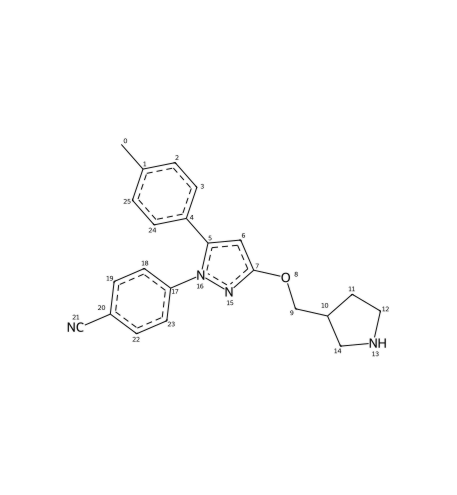 Cc1ccc(-c2cc(OCC3CCNC3)nn2-c2ccc(C#N)cc2)cc1